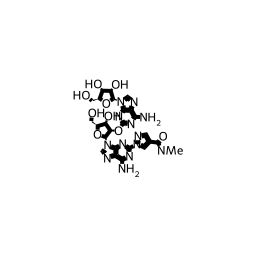 CNC(=O)c1cnn(-c2nc(N)c3ncn([C@@H]4O[C@H](CO)[C@@H](O)[C@H]4Oc4nc(N)c5ncn([C@@H]6O[C@H](CO)[C@@H](O)[C@H]6O)c5n4)c3n2)c1